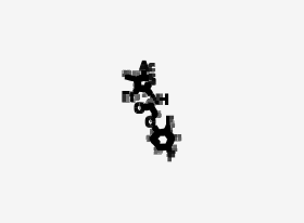 CCc1c(NC(=O)COc2ccc(F)cc2F)sc(C(C)=O)c1C